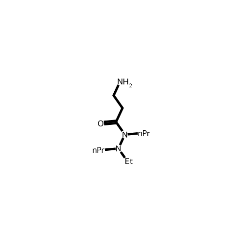 CCCN(CC)N(CCC)C(=O)CCN